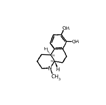 CN1CCC[C@H]2c3ccc(O)c(O)c3CC[C@@H]21